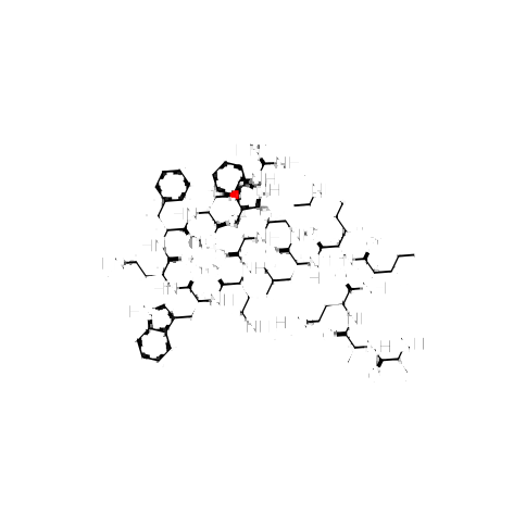 CC[C@H](C)[C@H](NC(=O)[C@H](CCN)NC(=O)[C@H](C)NC(=O)[C@H](C)N)C(=O)N[C@H](C(=O)N[C@@H](CC(C)C)C(=O)N[C@@H](CCN)C(=O)N[C@@H](Cc1c[nH]c2ccccc12)C(=O)N[C@@H](CCN)C(=O)N[C@@H](Cc1c[nH]c2ccccc12)C(=O)N[C@@H](CCN)C(=O)N[C@@H](Cc1ccccc1)C(=O)N[C@@H](CCCNC(=N)N)C(=O)O)[C@@H](C)CC